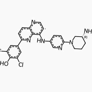 N[C@@H]1CCCN(c2ccc(Nc3[c]cnc4ccc(-c5cc(F)c(O)c(Cl)c5)nc34)cn2)C1